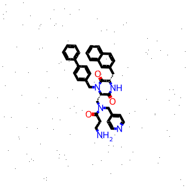 NCCC(=O)N(Cc1ccncc1)C[C@H]1C(=O)N[C@@H](Cc2ccc3ccccc3c2)C(=O)N1Cc1ccc(-c2ccccc2)cc1